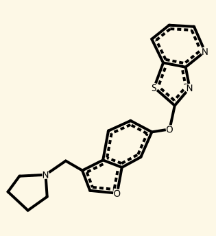 c1cnc2nc(Oc3ccc4c(CN5CCCC5)coc4c3)sc2c1